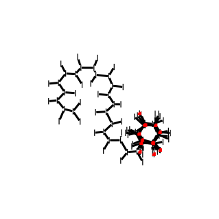 II(I)I(I)I(I)I(I)I(I)I(I)I(I)I(I)I(I)I(I)I(I)I(I)I(I)I(I)I(I)I(I)I(I)I(I)I(I)I(I)I(I)I(I)I(I)I(I)I(I)I(I)I(I)I(I)I(I)I(I)I(I)I(I)I(I)I(I)I(I)I(I)I(I)I(I)I(I)I(I)I(I)I(I)I(I)I(I)I(I)I(I)I(I)I